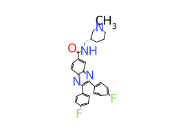 CN1CCC[C@H](CNC(=O)c2ccc3nc(-c4ccc(F)cc4)c(-c4ccc(F)cc4)nc3c2)C1